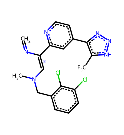 C=N/C(=C\N(C)Cc1cccc(Cl)c1Cl)c1cc(-c2nn[nH]c2C(F)(F)F)ccn1